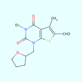 CCn1c(=O)c2c(C)c(C=O)sc2n(CC2CCCO2)c1=O